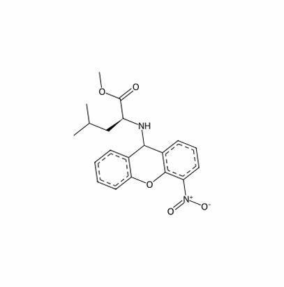 COC(=O)[C@H](CC(C)C)NC1c2ccccc2Oc2c1cccc2[N+](=O)[O-]